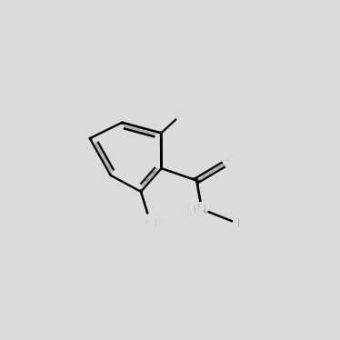 Cc1cccc(Cl)c1C(=O)NC(C)C